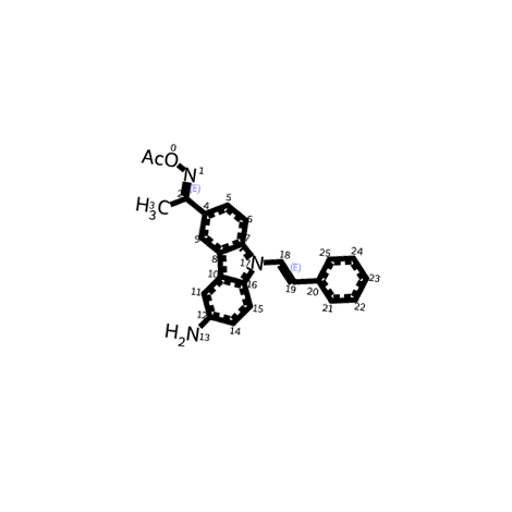 CC(=O)O/N=C(\C)c1ccc2c(c1)c1cc(N)ccc1n2/C=C/c1ccccc1